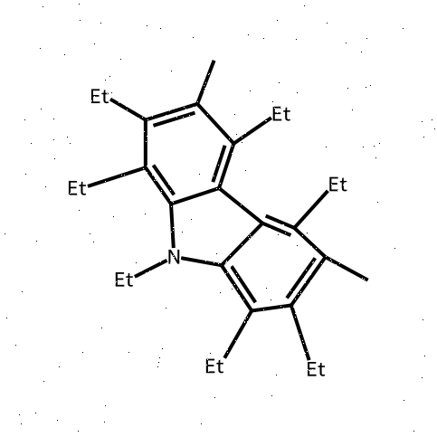 CCc1c(C)c(CC)c2c3c(CC)c(C)c(CC)c(CC)c3n(CC)c2c1CC